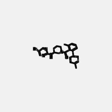 Cc1ccc(-c2cccc(C)c2C(=O)N2CCCC(Nc3ncc(Br)cn3)C2)cc1